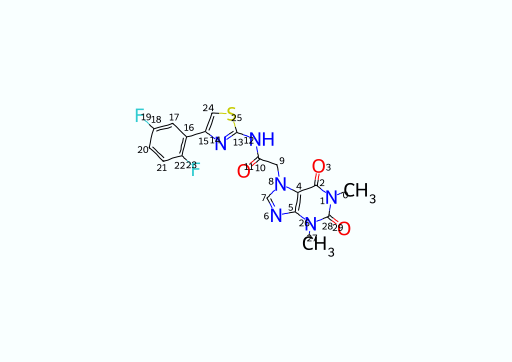 Cn1c(=O)c2c(ncn2CC(=O)Nc2nc(-c3cc(F)ccc3F)cs2)n(C)c1=O